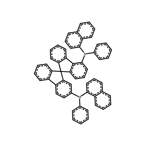 c1ccc(N(c2ccc3c(c2)C2(c4ccccc4-3)c3ccccc3-c3c(N(c4ccccc4)c4cccc5ccccc45)cccc32)c2cccc3ccccc23)cc1